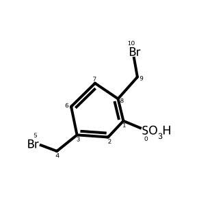 O=S(=O)(O)c1cc(CBr)ccc1CBr